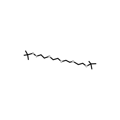 CC(C)(C)OCCOCCOCCOCCSSC(C)(C)C